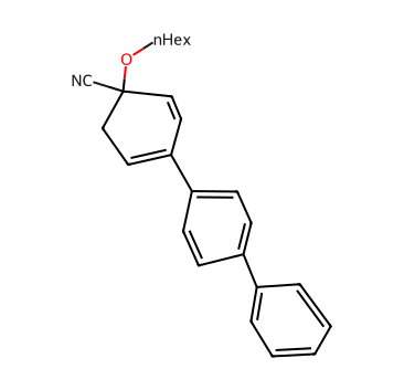 CCCCCCOC1(C#N)C=CC(c2ccc(-c3ccccc3)cc2)=CC1